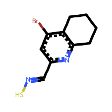 S/N=C/c1cc(Br)c2c(n1)CCCC2